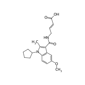 COc1ccc2c(c1)c(C(=O)NC/C=C/C(=O)O)c(C)n2C1CCCC1